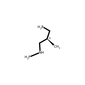 BC[C@@H](C)CNP